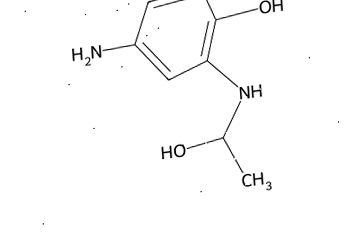 CC(O)Nc1cc(N)ccc1O